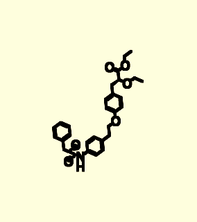 CCOC(=O)[C@H](Cc1ccc(OCCc2ccc(NS(=O)(=O)Cc3ccccc3)cc2)cc1)OCC